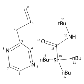 C=CCc1cnccn1.CCC[CH2][Sn]([CH2]CCC)([CH2]CCC)[C](=O)NC(C)(C)C